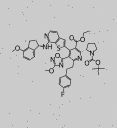 CCOC(=O)c1c([C@@H]2CCCN2C(=O)OC(C)(C)C)nc(CCc2ccc(F)cc2)c(-c2nc(OC)no2)c1-c1cc2ccnc(N[C@@H]3CCc4c(OC)cccc43)c2s1